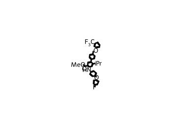 COC(=O)c1cc(-c2ccc(COc3cccc(C(F)(F)F)c3)cc2)c(C(C)C)cc1Nc1ccc(Oc2ccc(F)cc2)cc1